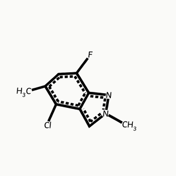 Cc1cc(F)c2nn(C)cc2c1Cl